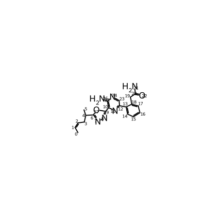 C/C=C\CC(C)c1nnc(-c2nc(-c3ccccc3CC(N)=O)cnc2N)o1